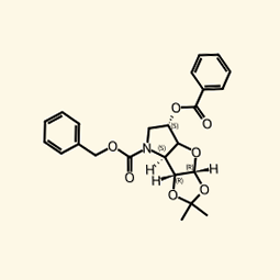 CC1(C)O[C@H]2OC3[C@@H](OC(=O)c4ccccc4)CN(C(=O)OCc4ccccc4)[C@@H]3[C@H]2O1